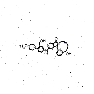 CN1CCN(c2ccc(Nc3ncc4c(=O)n5n(c4n3)-c3cccc(n3)C(O)CC/C=C\C5)cc2CO)CC1